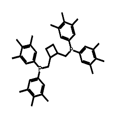 Cc1cc(P(CC2CCC2CP(c2cc(C)c(C)c(C)c2)c2cc(C)c(C)c(C)c2)c2cc(C)c(C)c(C)c2)cc(C)c1C